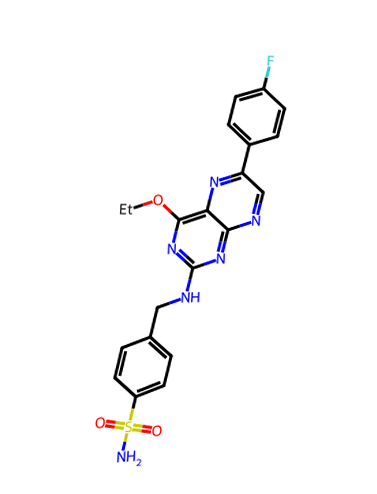 CCOc1nc(NCc2ccc(S(N)(=O)=O)cc2)nc2ncc(-c3ccc(F)cc3)nc12